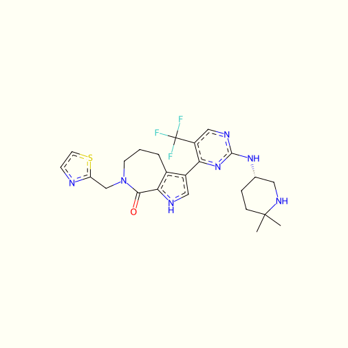 CC1(C)CC[C@H](Nc2ncc(C(F)(F)F)c(-c3c[nH]c4c3CCCN(Cc3nccs3)C4=O)n2)CN1